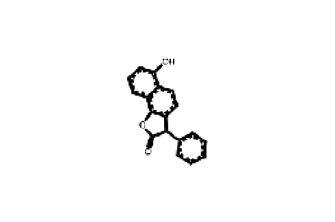 O=C1Oc2c(ccc3c(O)cccc23)C1c1ccccc1